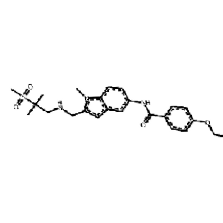 Cn1c(CNCC(C)(C)S(C)(=O)=O)cc2cc(NC(=O)c3ccc(OCC4CC4)cc3)ccc21